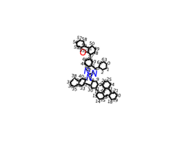 c1ccc(-c2nc(-n3c4ccc(-c5cccc6c7ccccc7c7ccccc7c56)cc4c4cc5ccccc5cc43)nc3ccc(-c4cccc5c4oc4ccccc45)cc23)cc1